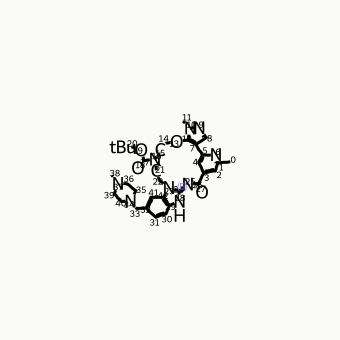 Cc1cc2cc(n1)-c1cnn(C)c1OCCN(C(=O)OC(C)(C)C)CCN1/C(=N/C2=O)Nc2ccc(CN3CCN(C)CC3)cc21